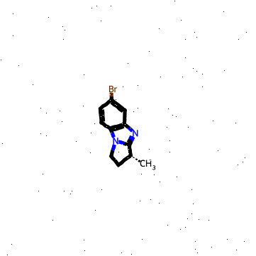 C[C@@H]1CCn2c1nc1cc(Br)ccc12